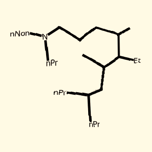 CCCCCCCCCN(CCC)CCCC(C)C(CC)C(C)CC(CCC)CCC